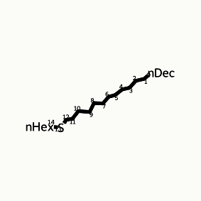 CCCCCCCCCCCCCCCCCCCCC[CH]SCCCCCC